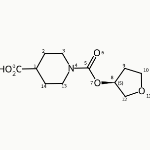 O=C(O)C1CCN(C(=O)O[C@H]2CCOC2)CC1